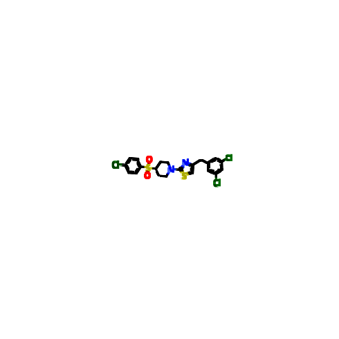 O=S(=O)(c1ccc(Cl)cc1)C1CCN(c2nc(Cc3cc(Cl)cc(Cl)c3)cs2)CC1